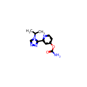 CC(C)n1cnnc1-c1cc(OC(N)=O)ccn1